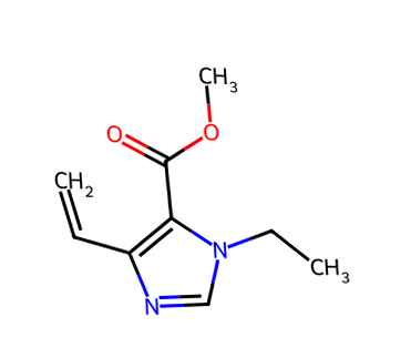 C=Cc1ncn(CC)c1C(=O)OC